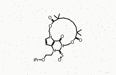 CC(C)OCCn1c(=S=O)n2c(=O)c3c1ccn3COC(=O)C(C)(C)CCCCC(C)(C)C(=O)OC2